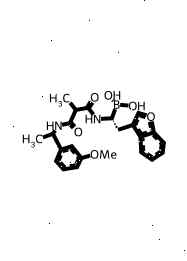 COc1cccc(C(C)NC(=O)C(C)C(=O)N[C@@H](Cc2coc3ccccc23)B(O)O)c1